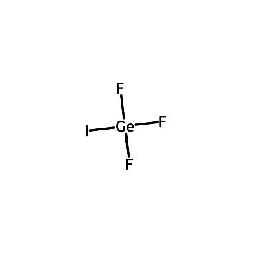 [F][Ge]([F])([F])[I]